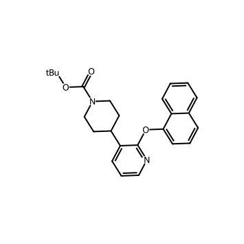 CC(C)(C)OC(=O)N1CCC(c2cccnc2Oc2cccc3ccccc23)CC1